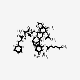 CCCCCC(=O)Oc1c(OC)c(C)cc2c1C1[C@@H]3Cc4c(OC(C)=O)c(C)c5c(c4[C@H](CNC(=O)C(C)NC(=O)CCc4ccccc4)N3[C@@H](C#N)C(C2)N1C)OCO5